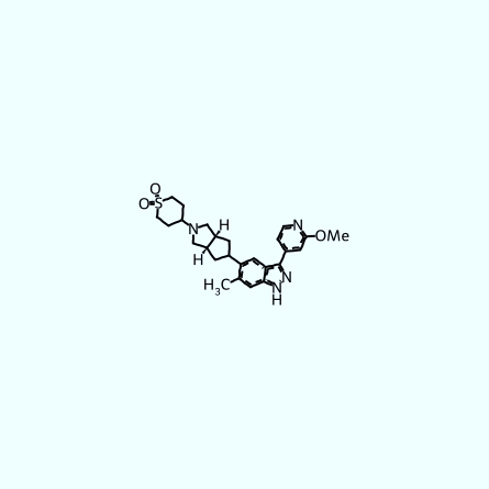 COc1cc(-c2n[nH]c3cc(C)c(C4C[C@@H]5CN(C6CCS(=O)(=O)CC6)C[C@@H]5C4)cc23)ccn1